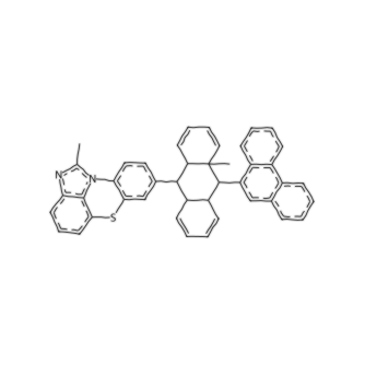 Cc1nc2cccc3c2n1-c1ccc(C2C4C=CC=CC4C(c4cc5ccccc5c5ccccc45)C4(C)C=CC=CC24)cc1S3